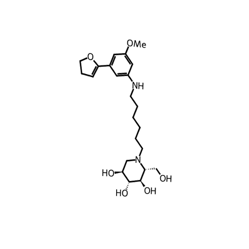 COc1cc(NCCCCCCN2C[C@H](O)[C@@H](O)[C@H](O)[C@H]2CO)cc(C2=CCCO2)c1